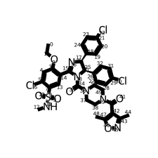 CCOc1cc(Cl)c(S(=O)(=O)NC)cc1C1=N[C@@H](c2ccc(Cl)cc2)[C@@H](c2ccc(Cl)cc2)N1C(=O)N1CCN(C(=O)c2c(C)noc2C)CC1